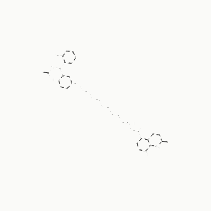 Cc1ccccc1C(NC(=O)O)c1cccc(OCCCCCCCCCNCC(O)c2ccc(O)c3[nH]c(=O)ccc23)c1